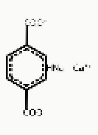 O=C([O-])c1ccc(C(=O)[O-])cc1.[Ca+2].[NaH]